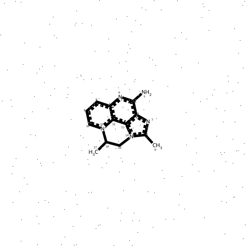 Cc1nc2c(N)nc3ccc[n+]4c3c2n1CC4C